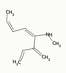 C=CC(=C)/C(=C\C=C/C)NC